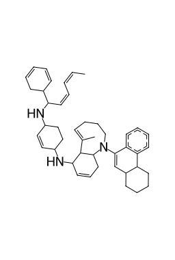 C/C=C\C=C/C(NC1C=CC(NC2C=CCC3C2/C(C)=C/CCCN3C2=CC3CCCCC3c3ccccc32)CC1)C1C=CC=CC1